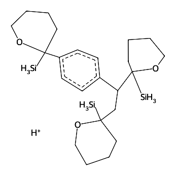 [H+].[SiH3]C1(CC(c2ccc(C3([SiH3])CCCCO3)cc2)C2([SiH3])CCCCO2)CCCCO1